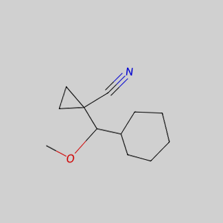 COC(C1CCCCC1)C1(C#N)CC1